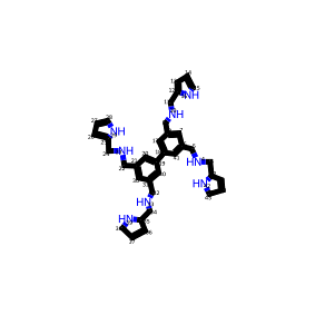 C1=CC(CNCc2cc(CNCc3ccc[nH]3)cc(-c3cc(CNCc4ccc[nH]4)cc(CNCC4C=CCN4)c3)c2)NC1